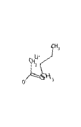 CC(=O)[O-].CCCC.[Li+]